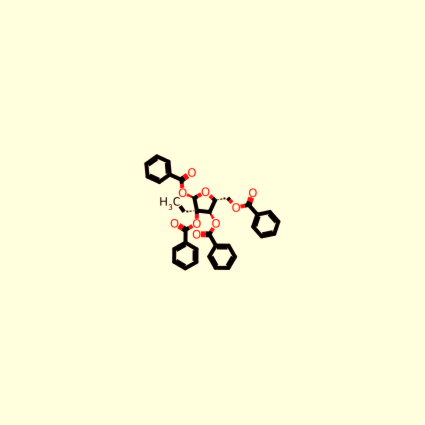 CC[C@]1(OC(=O)c2ccccc2)[C@@H](OC(=O)c2ccccc2)O[C@H](COC(=O)c2ccccc2)[C@H]1OC(=O)c1ccccc1